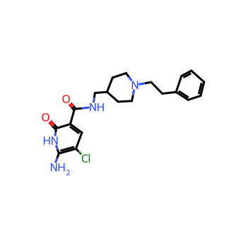 Nc1[nH]c(=O)c(C(=O)NCC2CCN(CCc3ccccc3)CC2)cc1Cl